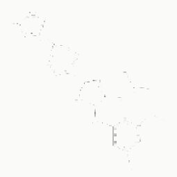 COc1cc(F)cc(CN2CN(c3ccc(-c4cn[nH]c4)cc3)N=C2CN(C)C)c1